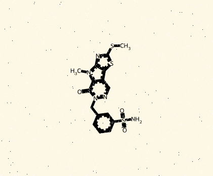 CSc1nc2c(s1)c1cnn(Cc3cccc(S(N)(=O)=O)c3)c(=O)c1n2C